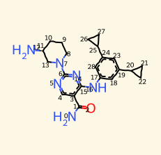 NC(=O)c1cnc(N2CCC[C@H](N)C2)nc1Nc1cc(C2CC2)cc(C2CC2)c1